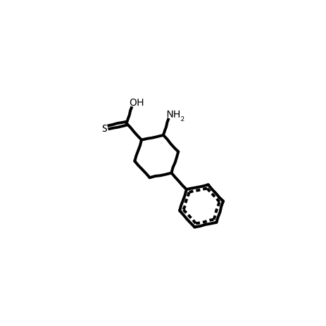 NC1CC(c2ccccc2)CCC1C(O)=S